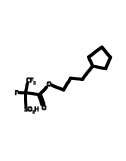 O=C(OCCCC1CCCC1)C(F)(C(F)(F)F)S(=O)(=O)O